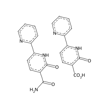 NC(=O)c1ccc(-c2ccccn2)[nH]c1=O.O=C(O)c1ccc(-c2ccccn2)[nH]c1=O